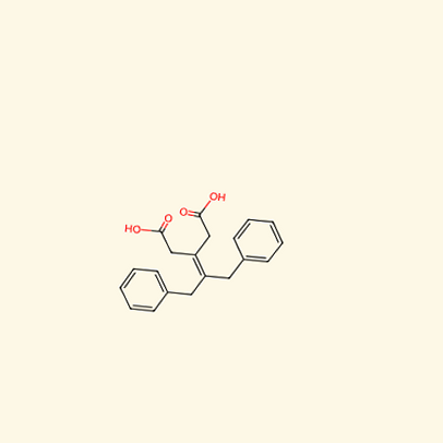 O=C(O)CC(CC(=O)O)=C(Cc1ccccc1)Cc1ccccc1